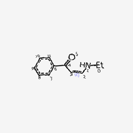 CCN/C=C\C(=O)c1ccccc1